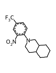 O=[N+]([O-])c1cc(C(F)(F)F)ccc1N1CCC2CCCCC2C1